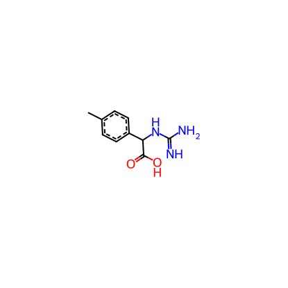 Cc1ccc(C(NC(=N)N)C(=O)O)cc1